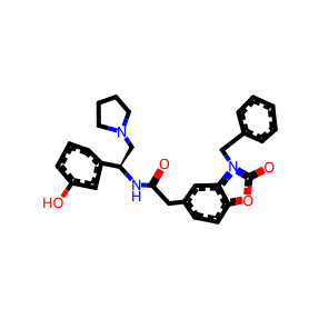 O=C(Cc1ccc2oc(=O)n(Cc3ccccc3)c2c1)N[C@H](CN1CCCC1)c1cccc(O)c1